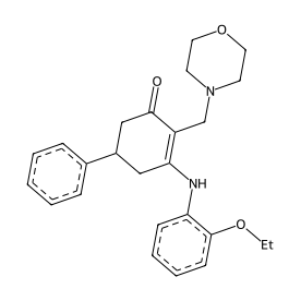 CCOc1ccccc1NC1=C(CN2CCOCC2)C(=O)CC(c2ccccc2)C1